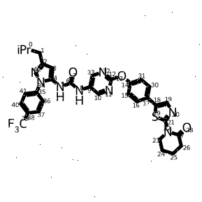 CC(C)Cc1cc(NC(=O)Nc2cnc(Oc3ccc(-c4cnc(N5CCCCC5=O)s4)cc3)nc2)n(-c2ccc(C(F)(F)F)cc2)n1